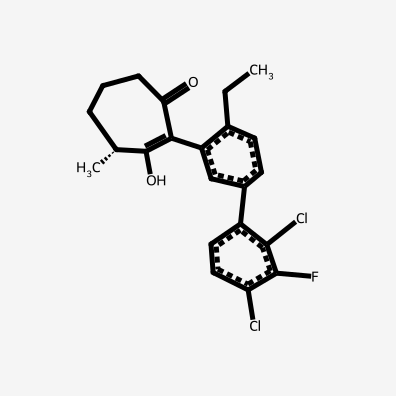 CCc1ccc(-c2ccc(Cl)c(F)c2Cl)cc1C1=C(O)[C@H](C)CCCC1=O